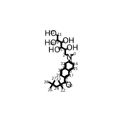 CN(CC(O)C(O)C(O)C(O)CO)c1ccc2cc(C(=O)C(C)(C)CC(C)(C)C)ccc2c1